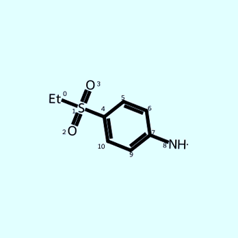 CCS(=O)(=O)c1ccc([NH])cc1